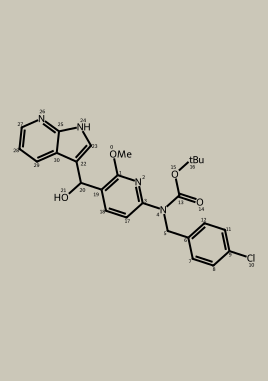 COc1nc(N(Cc2ccc(Cl)cc2)C(=O)OC(C)(C)C)ccc1C(O)c1c[nH]c2ncccc12